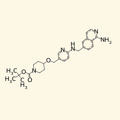 CC(C)(C)OC(=O)N1CCC(OCc2ccc(NCc3ccc4c(N)nccc4c3)nc2)CC1